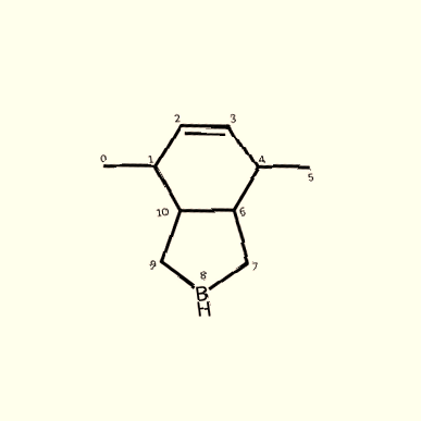 CC1C=CC(C)C2CBCC12